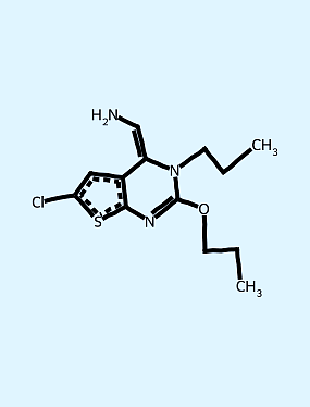 CCCOC1=Nc2sc(Cl)cc2/C(=C\N)N1CCC